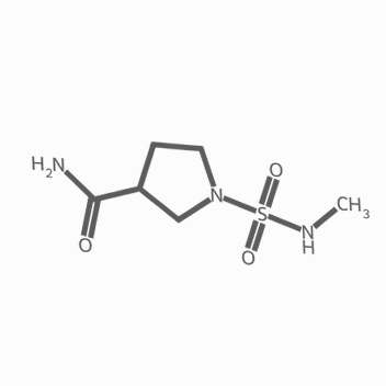 CNS(=O)(=O)N1CCC(C(N)=O)C1